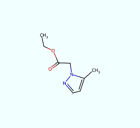 CCOC(=O)Cn1n[c]cc1C